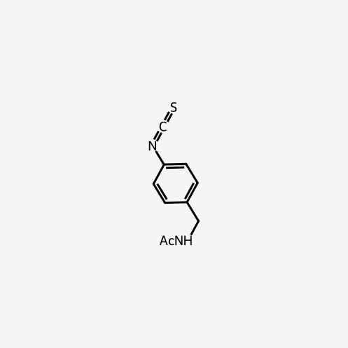 CC(=O)NCc1ccc(N=C=S)cc1